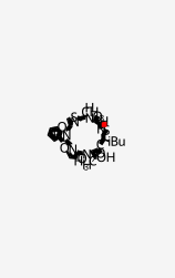 CCC(C)[C@H]1CC(=O)[C@H]([C@@H](C)O)NC(=O)C2CCCN2C(=O)[C@H](Cc2ccccc2)NC(=O)c2csc(n2)[C@@H](C)NC(=O)[C@@H]2CSC1=N2